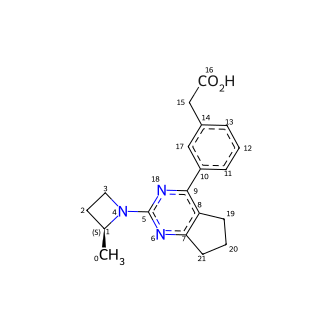 C[C@H]1CCN1c1nc2c(c(-c3cccc(CC(=O)O)c3)n1)CCC2